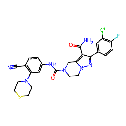 N#Cc1ccc(NC(=O)N2CCn3nc(-c4ccc(F)c(Cl)c4)c(C(N)=O)c3C2)cc1N1CCSCC1